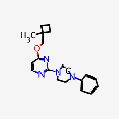 CC1(COc2ccnc(N3CCN(c4ccccc4)CC3)n2)CCC1